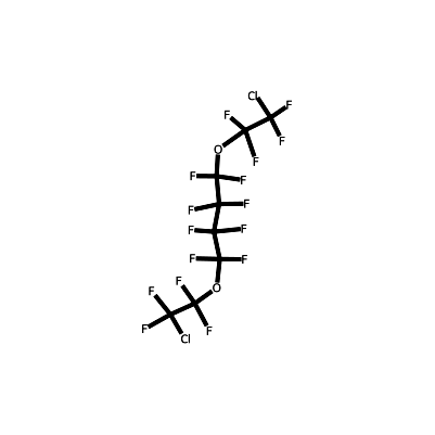 FC(F)(Cl)C(F)(F)OC(F)(F)C(F)(F)C(F)(F)C(F)(F)OC(F)(F)C(F)(F)Cl